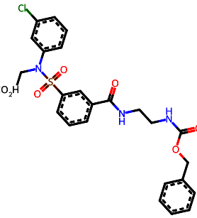 O=C(O)CN(c1cccc(Cl)c1)S(=O)(=O)c1cccc(C(=O)NCCNC(=O)OCc2ccccc2)c1